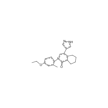 CCOc1ccc(-n2cc(-c3cn[nH]c3)c3c(c2=O)CCCC3)c(C)c1